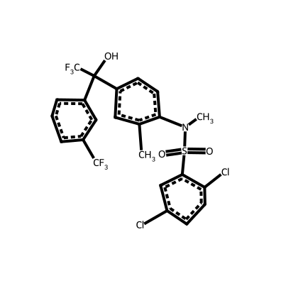 Cc1cc(C(O)(c2cccc(C(F)(F)F)c2)C(F)(F)F)ccc1N(C)S(=O)(=O)c1cc(Cl)ccc1Cl